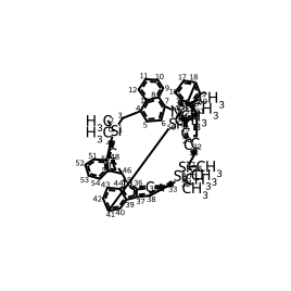 C[Si]1(C)Cc2ccc(c3ccccc23)-n2c3ccc4cc3c3cc(ccc32)[Si](C)(C)[Si](C)(C)c2ccc3c(c2)c2cc(ccc2n3-c2ccc1c1ccccc21)[Si](C)(C)[Si]4(C)C